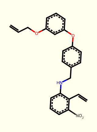 C=CCOc1cccc(Oc2ccc(CNc3cccc([N+](=O)[O-])c3C=C)cc2)c1